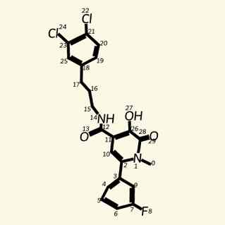 Cn1c(-c2cccc(F)c2)cc(C(=O)NCCCc2ccc(Cl)c(Cl)c2)c(O)c1=O